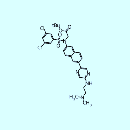 CN(C)CCNc1cnc(-c2ccc3cc(N(CC(=O)OC(C)(C)C)S(=O)(=O)c4cc(Cl)cc(Cl)c4)ccc3c2)cn1